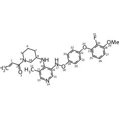 C=CC(=O)N1CCCC(Nc2c(C)cncc2NOc2ccc(Oc3cccc(OC)c3F)cc2)C1